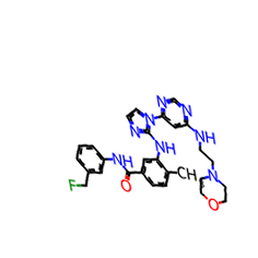 Cc1ccc(C(=O)Nc2cccc(CF)c2)cc1Nc1nccn1-c1cc(NCCN2CCOCC2)ncn1